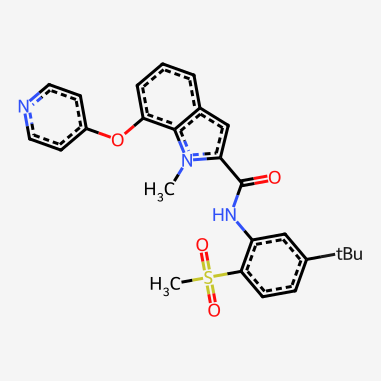 Cn1c(C(=O)Nc2cc(C(C)(C)C)ccc2S(C)(=O)=O)cc2cccc(Oc3ccncc3)c21